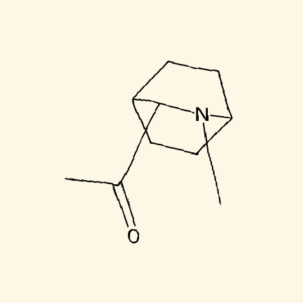 CC(=O)C1C2CCC(CC2)N1C